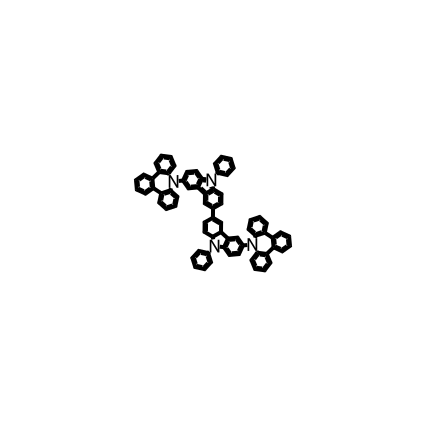 C1=CC2C(C=C1c1ccc3c(c1)c1cc(N4c5ccccc5-c5ccccc5-c5ccccc54)ccc1n3-c1ccccc1)c1cc(N3c4ccccc4-c4ccccc4-c4ccccc43)ccc1N2c1ccccc1